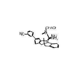 CN(C=O)/C(N)=N\C1(C)c2cc(-c3cccc(C#N)c3)ccc2CC12Cc1ccccc1C2